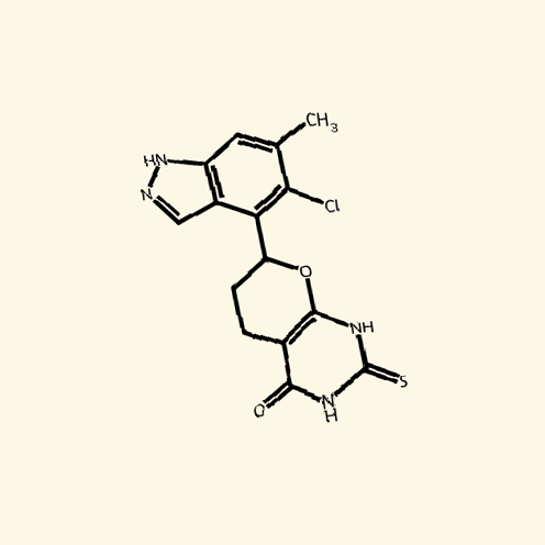 Cc1cc2[nH]ncc2c(C2CCc3c([nH]c(=S)[nH]c3=O)O2)c1Cl